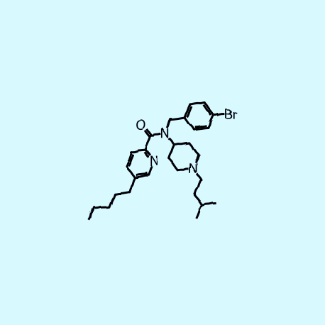 CCCCCc1ccc(C(=O)N(Cc2ccc(Br)cc2)C2CCN(CCC(C)C)CC2)nc1